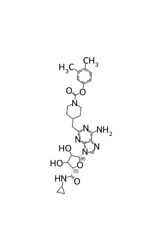 Cc1ccc(OC(=O)N2CCC(Cc3nc(N)c4ncn([C@@H]5O[C@H](C(=O)NC6CC6)C(O)C5O)c4n3)CC2)cc1C